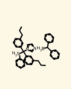 BC(c1ccccc1)c1ccccc1.CCCc1cccc(C([SiH2]c2ccccc2)(c2cccc(CCC)c2)n2ccnc2)c1